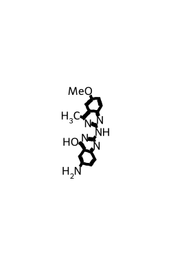 COc1ccc2nc(Nc3nc(O)c4cc(N)ccc4n3)nc(C)c2c1